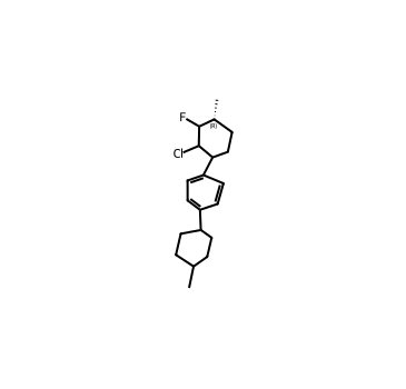 CC1CCC(c2ccc(C3CC[C@@H](C)C(F)C3Cl)cc2)CC1